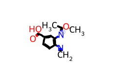 C=Nc1ccc(C(=O)O)cc1/N=C(\C)OC